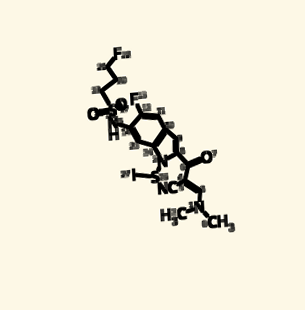 CN(C)/C=C(\C#N)C(=O)c1cc2cc(F)c(NS(=O)(=O)CCCF)cc2n1SI